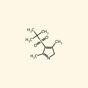 CC1=NCC(C)=C1S(=O)(=O)C(C)(C)C